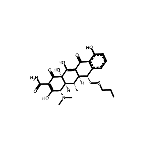 CCCSC[C@H]1c2cccc(O)c2C(=O)C2=C(O)[C@]3(O)C(=O)C(C(N)=O)=C(O)[C@@H](N(C)C)[C@@H]3[C@@H](C)[C@@H]21